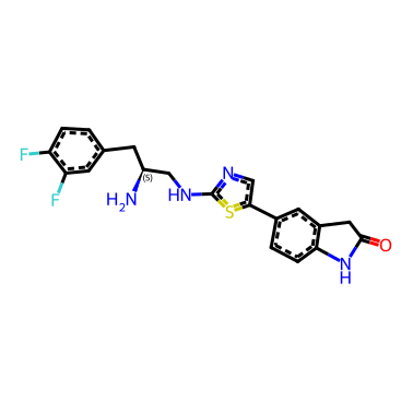 N[C@H](CNc1ncc(-c2ccc3c(c2)CC(=O)N3)s1)Cc1ccc(F)c(F)c1